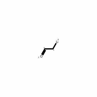 [Li][CH2]C=O